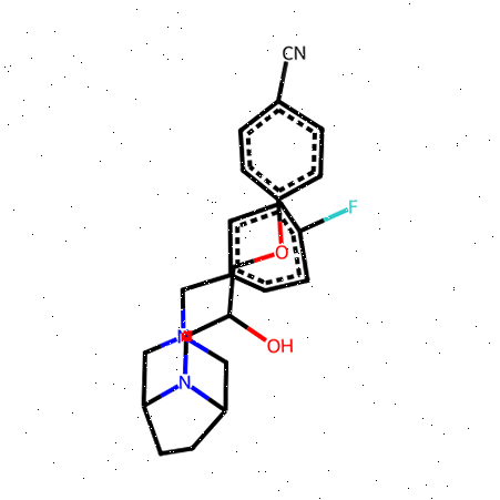 N#Cc1ccc(OCC(O)CN2C3CCC2CN(Cc2ccc(F)cc2)C3)cc1